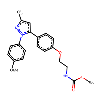 COc1ccc(-n2nc(C(F)(F)F)cc2-c2ccc(OCCNC(=O)OC(C)(C)C)cc2)cc1